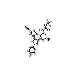 CC(C)(C)OC(=O)N[C@@H]1C[C@@H](F)CN(C2CC(c3ccc(F)cc3)CC2n2cc(C#N)cn2)C1